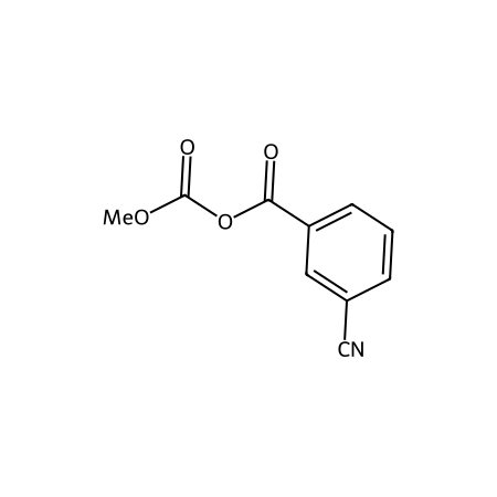 COC(=O)OC(=O)c1cccc(C#N)c1